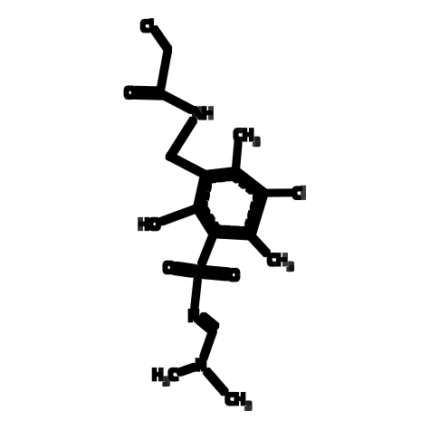 Cc1c(Cl)c(C)c(S(=O)(=O)N=CN(C)C)c(O)c1CNC(=O)CCl